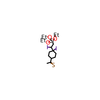 CCO[Si](CC(I)C1(I)CCC(C(C)=S)CC1)(OCC)OCC